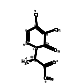 COC(=O)[C@@H](C)n1ncc(Cl)c(Cl)c1=O